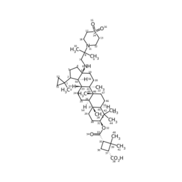 CC1(C2CC[C@]3(NCC(C)(C)N4CCS(=O)(=O)CC4)CC[C@]4(C)[C@H](CC[C@@H]5[C@@]6(C)CC[C@H](OC(=O)[C@H]7C[C@@H](C(=O)O)C7(C)C)C(C)(C)[C@@H]6CC[C@]54C)[C@@H]23)CC1